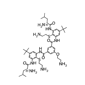 CC(C)C[C@@H](N)C(=O)Nc1cc(C(C)(C)C)cc(NC(=O)c2cc(OCCN)cc(C(=O)Nc3cc(C(C)(C)C)cc(NC(=O)[C@H](N)CC(C)C)c3SCCN)c2)c1SCCN